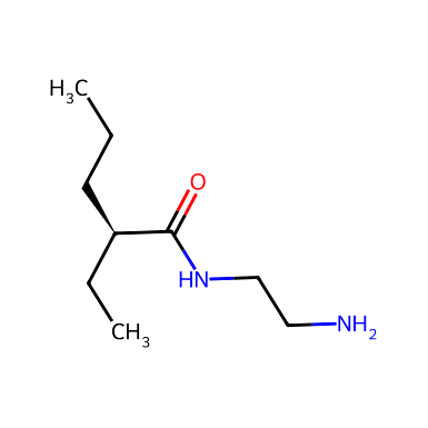 CCC[C@H](CC)C(=O)NCCN